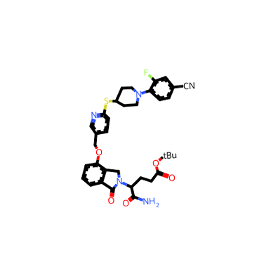 CC(C)(C)OC(=O)CCC(C(N)=O)N1Cc2c(OCc3ccc(SC4CCN(c5ccc(C#N)cc5F)CC4)nc3)cccc2C1=O